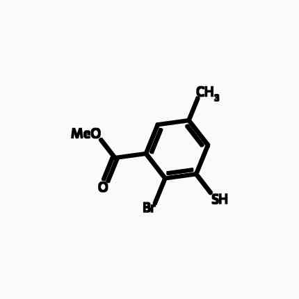 COC(=O)c1cc(C)cc(S)c1Br